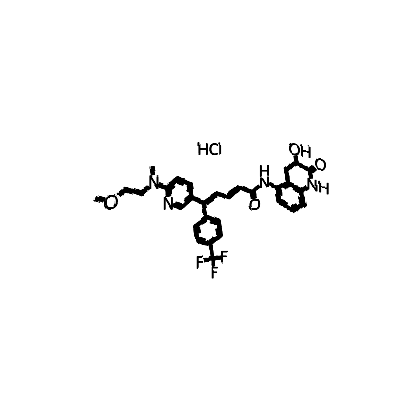 COCCN(C)c1ccc(/C(=C/C=C/C(=O)Nc2cccc3c2CC(O)C(=O)N3)c2ccc(C(F)(F)F)cc2)cn1.Cl